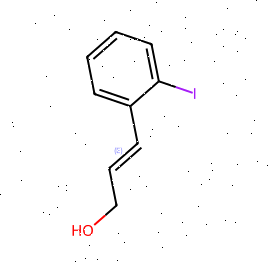 OC/C=C/c1ccccc1I